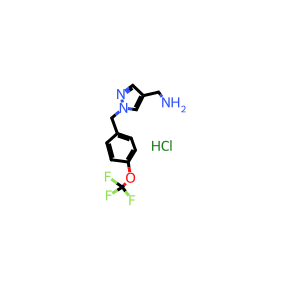 Cl.NCc1cnn(Cc2ccc(OC(F)(F)F)cc2)c1